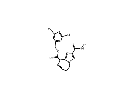 CCNC(=O)c1cc2n(n1)CCC=NC2C(=O)OCc1cc(Cl)cc(Cl)c1